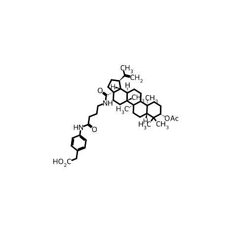 C=C(C)[C@@H]1CC[C@]2(C(=O)NCCCC(=O)Nc3ccc(CC(=O)O)cc3)CC[C@]3(C)[C@H](CCC4[C@@]5(C)CC[C@H](OC(C)=O)C(C)(C)[C@@H]5CC[C@]43C)[C@@H]12